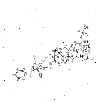 C=C(C)[C@@H]1CC[C@]2(NCC(C)(C)O)CC[C@]3(C)[C@H](CC[C@@H]4[C@@]5(C)CC=C(C6=CC[C@](CF)(C(=O)OCc7ccccc7)CC6)C(C)(C)[C@@H]5CC[C@]43C)[C@@H]12